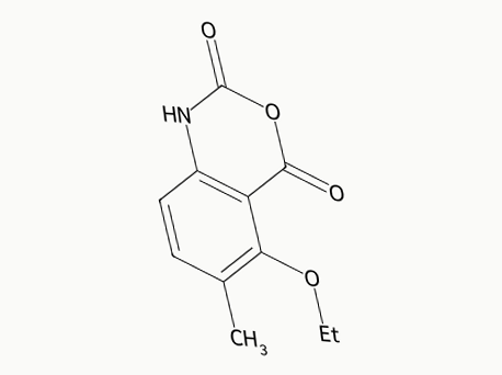 CCOc1c(C)ccc2[nH]c(=O)oc(=O)c12